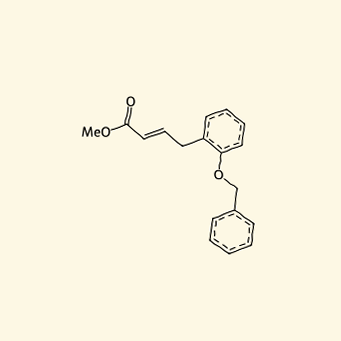 COC(=O)/C=C/Cc1ccccc1OCc1ccccc1